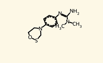 CN(C)C(N)=Nc1ccc(N2CCOSC2)cc1